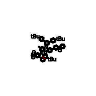 Cc1cc2c3c(c1)N(c1cc4c(cc1-c1ccccc1)OCCO4)c1ccc(C(C)(C)C)cc1B3c1ccc(-c3ccc4c(c3)oc3ccccc34)cc1N2c1cc(-c2ccc(C(C)(C)C)cc2)cc(-c2ccc(C(C)(C)C)cc2)c1